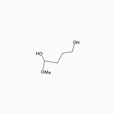 COC(O)CCCO